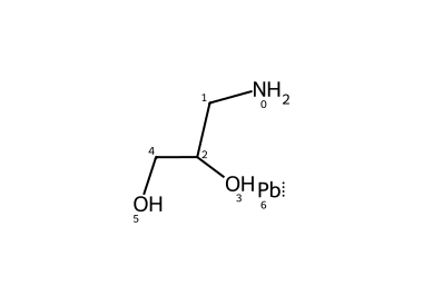 NCC(O)CO.[Pb]